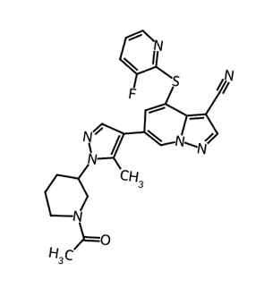 CC(=O)N1CCCC(n2ncc(-c3cc(Sc4ncccc4F)c4c(C#N)cnn4c3)c2C)C1